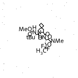 CNC(=O)C(=O)[C@H](CCC(C)(F)F)NC(=O)C1CC2(CCC2)CN1C(=O)[C@@H](NC(=O)OC)C(C)(C)C